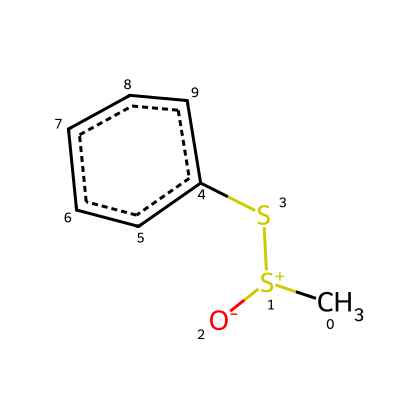 C[S+]([O-])Sc1ccccc1